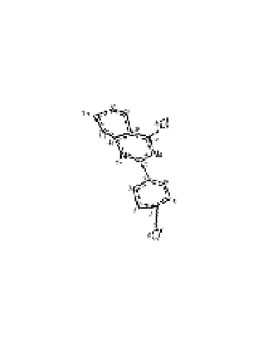 Clc1ccc(-c2nc(Cl)c3ccccc3n2)cc1